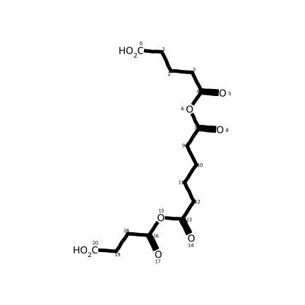 O=C(O)CCCC(=O)OC(=O)CCCCC(=O)OC(=O)CCC(=O)O